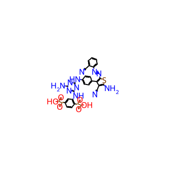 N#Cc1ccccc1N=Nc1sc(N)c(C#N)c1-c1ccc(Nc2nc(N)nc(Nc3cc(S(=O)(=O)O)ccc3S(=O)(=O)O)n2)cc1